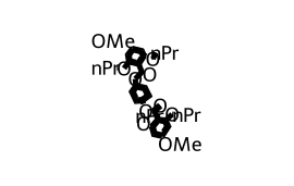 CCCOc1cc(OC)cc(OCCC)c1C(=O)Oc1ccc(OC(=O)c2c(OCCC)cc(OC)cc2OCCC)cc1